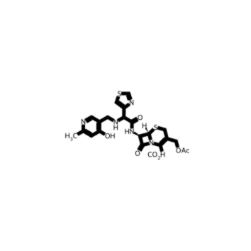 CC(=O)OCC1=C(C(=O)O)N2C(=O)[C@@H](NC(=O)C(NCc3cnc(C)cc3O)c3cscn3)[C@H]2SC1